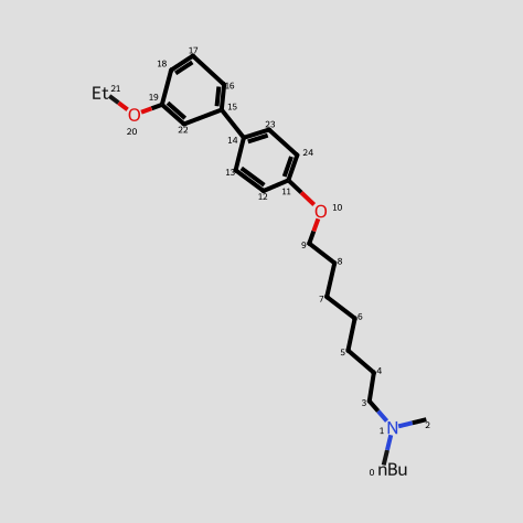 CCCCN(C)CCCCCCCOc1ccc(-c2cccc(OCC)c2)cc1